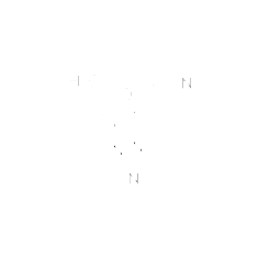 [CH2]C1COC(Cn2cncn2)(c2ccncc2)O1